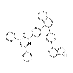 c1ccc(C2=NC(c3ccc(-c4c(-c5ccc(-c6cccc7[nH]ccc67)cc5)ccc5ccccc45)cc3)NC(c3ccccc3)N2)cc1